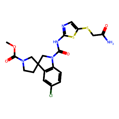 COC(=O)N1CCC2(C1)CN(C(=O)Nc1ncc(SCC(N)=O)s1)c1ccc(Cl)cc12